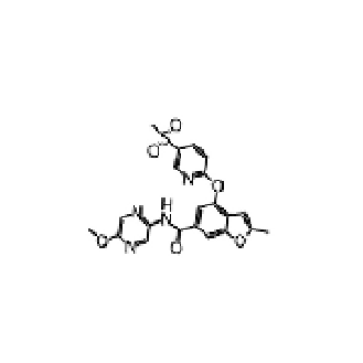 COc1cnc(NC(=O)c2cc(Oc3ccc(S(C)(=O)=O)cn3)c3cc(C)oc3c2)cn1